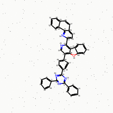 c1ccc(-c2nc(-c3ccccc3)nc(-c3ccc(-c4cnc(-c5ccc6ccc7ccccc7c6n5)c5c4oc4ccccc45)cc3)n2)cc1